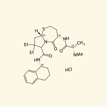 CCC1(CC)C[C@@H]2SCC[C@H](NC(=O)[C@H](C)NC)C(=O)N2C1C(=O)N[C@@H]1CCCc2ccccc21.Cl